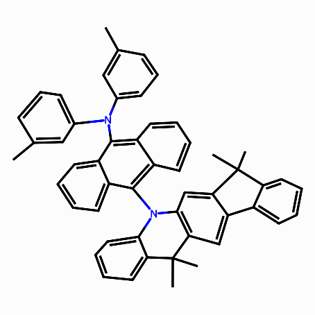 Cc1cccc(N(c2cccc(C)c2)c2c3ccccc3c(N3c4ccccc4C(C)(C)c4cc5c(cc43)C(C)(C)c3ccccc3-5)c3ccccc23)c1